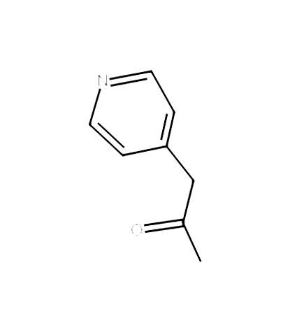 CC(=O)[CH]c1ccncc1